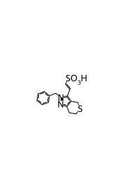 O=S(=O)(O)/C=C/c1c2c(nn1Cc1ccccc1)CCSC2